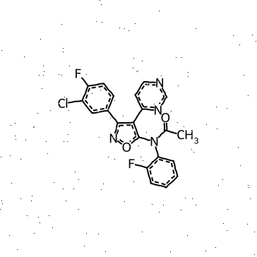 CC(=O)N(c1ccccc1F)c1onc(-c2ccc(F)c(Cl)c2)c1-c1ccncn1